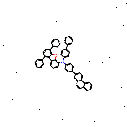 c1ccc(-c2ccc(N(c3ccc(-c4ccc5c(ccc6ccccc65)c4)cc3)c3cccc4c3oc3c(-c5ccccc5)ccc(-c5ccccc5)c34)cc2)cc1